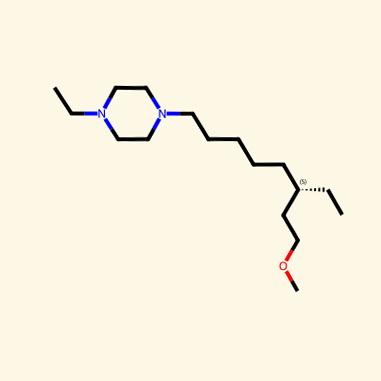 CC[C@@H](CCCCCN1CCN(CC)CC1)CCOC